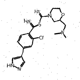 CN(C)CC1CN(C(=N)SC(=N)c2ccc(-c3cn[nH]c3)cc2Cl)CCO1